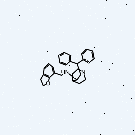 c1ccc(C(c2ccccc2)C2C(NCc3cccc4c3OCC4)C3CCN2CC3)cc1